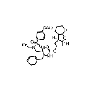 COc1ccc(S(=O)(=O)N(CC(C)C)C[C@@H](O)[C@H](Cc2ccccc2)NC(=O)O[C@@H]2C[C@@H]3OC4OCCCC4[C@@H]3C2)cc1